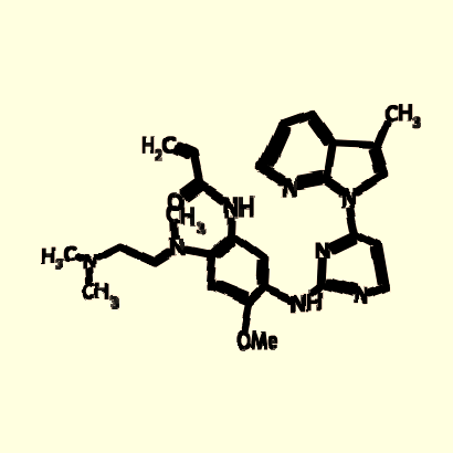 C=CC(=O)Nc1cc(Nc2nccc(-n3cc(C)c4cccnc43)n2)c(OC)cc1N(C)CCN(C)C